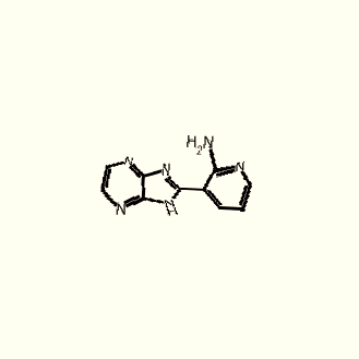 Nc1ncccc1-c1nc2nccnc2[nH]1